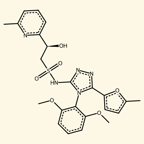 COc1cccc(OC)c1-n1c(NS(=O)(=O)C[C@H](O)c2cccc(C)n2)nnc1-c1ccc(C)o1